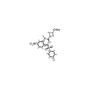 COC1CC(C(=O)C(C)n2cc([N+](=O)[O-])cc/c2=N\S(=O)(=O)c2ccc(C)cc2)C1